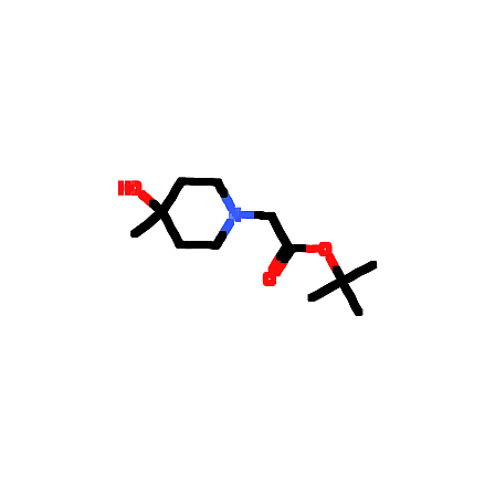 CC1(O)CCN(CC(=O)OC(C)(C)C)CC1